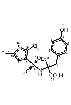 CCC(Cc1ccc(O)cc1)(NS(=O)(=O)c1cc(Cl)sc1Cl)C(=O)O